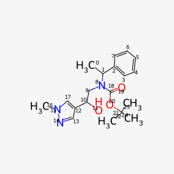 CC(c1ccccc1)N(CC(O)c1cnn(C)c1)C(=O)OC(C)(C)C